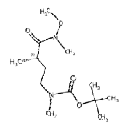 CON(C)C(=O)[C@@H](C)CCN(C)C(=O)OC(C)(C)C